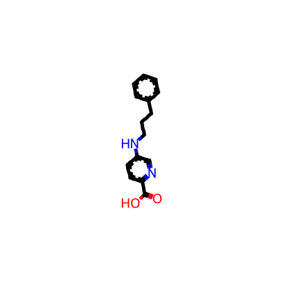 O=C(O)c1ccc(NCCCc2ccccc2)cn1